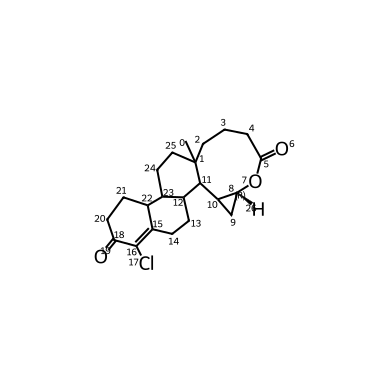 CC12CCCC(=O)O[C@@H]3CC3C1C1CCC3=C(Cl)C(=O)CCC3C1CC2